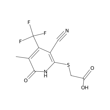 Cc1c(C(F)(F)F)c(C#N)c(SCC(=O)O)[nH]c1=O